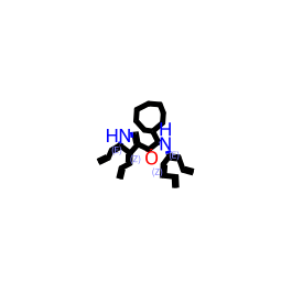 C=C/C=C\C(=C/C=C)NC(C(=O)c1c[nH]c(=C/C=C)/c1=C\C=C)C1CCCCCCC1